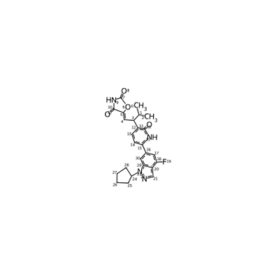 CC(C)C(/C=C1\OC(=O)NC1=O)c1ccc(-c2cc(F)c3cnn(C4CCCC4)c3c2)[nH]c1=O